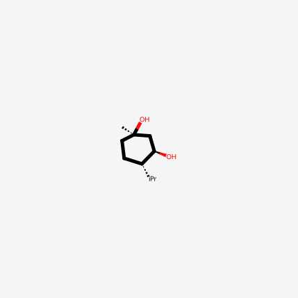 CC(C)[C@@H]1CC[C@@](C)(O)C[C@H]1O